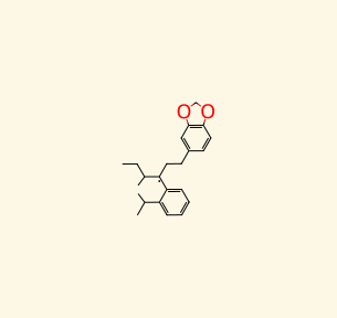 CCC(C)[C](CCc1ccc2c(c1)OCO2)c1ccccc1C(C)C